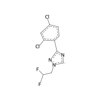 FC(F)Cn1[c]nc(-c2ccc(Cl)cc2Cl)n1